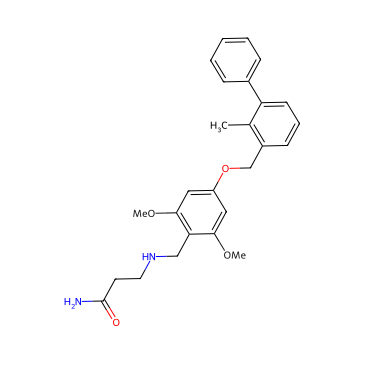 COc1cc(OCc2cccc(-c3ccccc3)c2C)cc(OC)c1CNCCC(N)=O